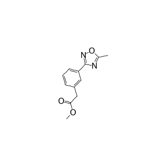 COC(=O)Cc1cccc(-c2noc(C)n2)c1